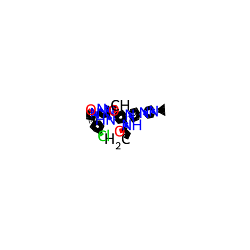 C=CC(=O)Nc1cc(Nc2cc(N3OCC[C@@H]3c3ccc(Cl)cc3)ncn2)c(OC)cc1N1CCC(N2CCN(C3CC3)CC2)CC1